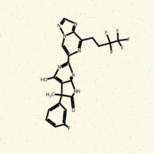 CC1(c2cccc(F)c2)C(=O)Nc2nc(-c3cn4ncnc4c(CCC(F)(F)C(F)(F)F)n3)nc(O)c21